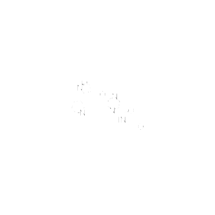 Cc1ccc(-c2noc(C)c2COc2cnc(C(=O)NC3CCCOC3)cn2)cn1